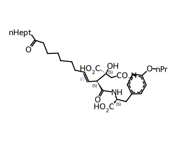 CCCCCCCC(=O)CCCCCC/C=C/[C@H](C(=O)N[C@@H](Cc1ccc(OCCC)cc1)C(=O)O)[C@@](O)(CC(=O)O)C(=O)O